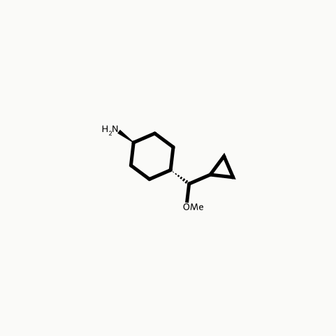 COC(C1CC1)[C@H]1CC[C@H](N)CC1